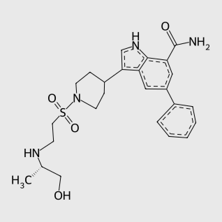 C[C@@H](CO)NCCS(=O)(=O)N1CCC(c2c[nH]c3c(C(N)=O)cc(-c4ccccc4)cc23)CC1